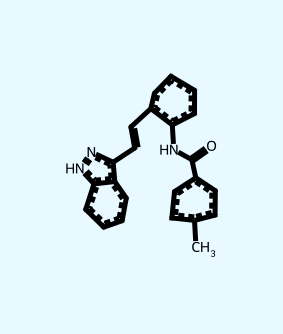 Cc1ccc(C(=O)Nc2ccccc2/C=C/c2n[nH]c3ccccc23)cc1